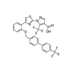 O=C(O)c1cnn(-c2nc(-c3ccccc3OCc3ccc(-c4ccc(C(F)(F)F)cc4)cc3)cs2)c1C(F)(F)F